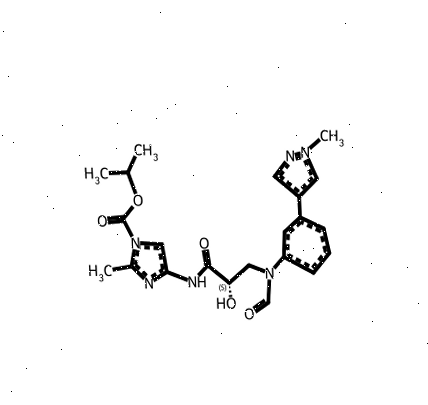 Cc1nc(NC(=O)[C@@H](O)CN(C=O)c2cccc(-c3cnn(C)c3)c2)cn1C(=O)OC(C)C